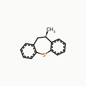 C[C@@H]1Cc2ccccc2Sc2ccccc21